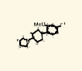 COc1cc(F)ccc1C1CCC(N2C[CH]CC2)CC1